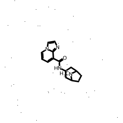 CN1C2CCC1CC(NC(=O)c1cccn3ccnc13)C2